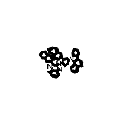 c1ccc2cc(-c3nc4ccccc4nc3-n3c4ccc(-n5c6ccccc6c6ccc7ccccc7c65)cc4c4cc5ccccc5cc43)ccc2c1